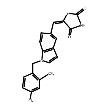 N#Cc1ccc(Cn2ccc3cc(C=C4SC(=O)NC4=O)ccc32)c(C(F)(F)F)c1